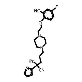 CC(C)C(C#N)(CCCN1CCN(CCOc2ccc(F)cc2C#N)CC1)c1cccs1